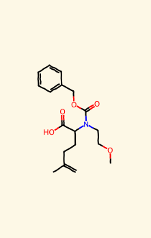 C=C(C)CCC(C(=O)O)N(CCOC)C(=O)OCc1ccccc1